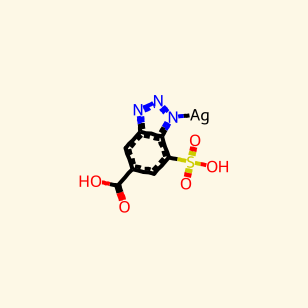 O=C(O)c1cc(S(=O)(=O)O)c2c(c1)nn[n]2[Ag]